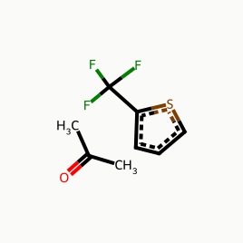 CC(C)=O.FC(F)(F)c1cccs1